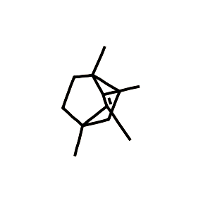 CC1=C(C)C2(C)CCC1(C)CC2